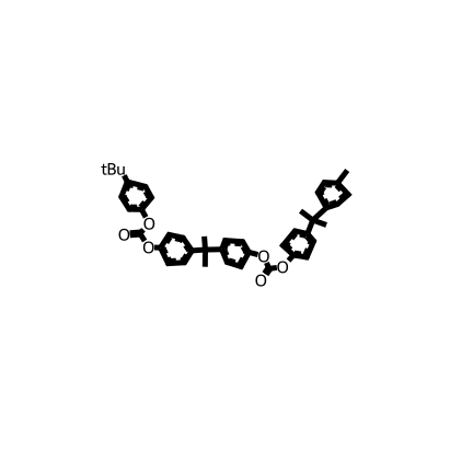 Cc1ccc(C(C)(C)c2ccc(OC(=O)Oc3ccc(C(C)(C)c4ccc(OC(=O)Oc5ccc(C(C)(C)C)cc5)cc4)cc3)cc2)cc1